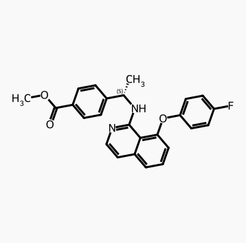 COC(=O)c1ccc([C@H](C)Nc2nccc3cccc(Oc4ccc(F)cc4)c23)cc1